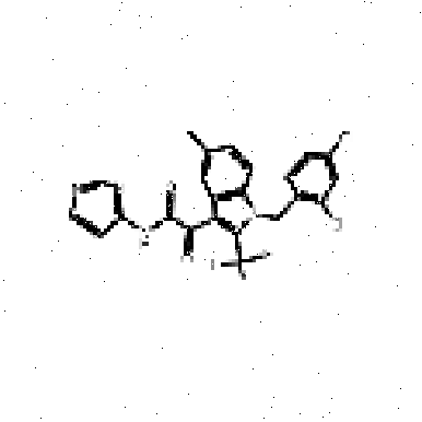 Cc1ccc2c(c1)c(C(=O)C(=O)Nc1ccncn1)c(C(F)(F)F)n2Cc1ccc(Cl)cc1Cl